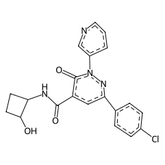 O=C(NC1CCC1O)c1cc(-c2ccc(Cl)cc2)nn(-c2cccnc2)c1=O